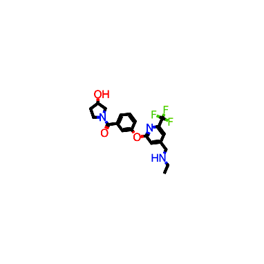 CCNCc1cc(Oc2cccc(C(=O)N3CCC(O)C3)c2)nc(C(F)(F)F)c1